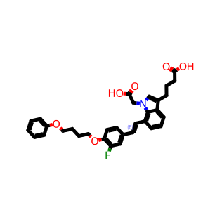 O=C(O)CCCc1cn(CC(=O)O)c2c(/C=C/c3ccc(OCCCCOc4ccccc4)c(F)c3)cccc12